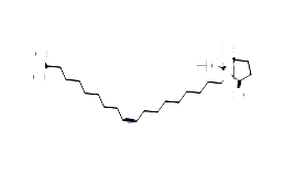 O=C([O-])CCCCCCC/C=C\CCCCCCCC[N+]1(O)C(=O)CCC1=O